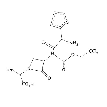 CC(C)C(C(=O)O)N1CC(N(C(=O)OCC(Cl)(Cl)Cl)C(=O)C(N)c2cccs2)C1=O